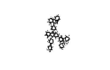 O=P(c1ccccc1)(c1ccccc1)c1ccc(-c2ccc3c(-c4ccc(-c5nc6ccccc6c6ccccc56)cc4)c4ccccc4c(-c4ccc(-c5ccccc5)cc4)c3c2)cc1